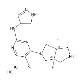 C[C@]12CNC[C@H]1CN(c1nc(Nc3cn[nH]c3)ncc1Cl)C2.Cl.Cl